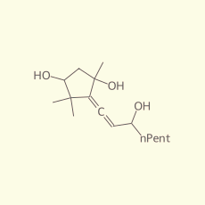 CCCCCC(O)C=C=C1C(C)(O)CC(O)C1(C)C